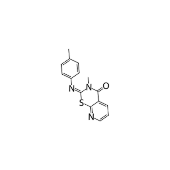 Cc1ccc(N=c2sc3ncccc3c(=O)n2C)cc1